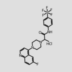 CC(C(=O)Nc1ccc(S(F)(F)(F)(F)F)cc1)N1CCN(c2ccnc3ccc(F)cc23)CC1.Cl